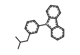 CC(C)Cc1cccc(-n2c3ccccc3c3ccccc32)c1